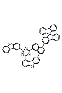 c1ccc(-c2nc(-c3ccc4oc5ccccc5c4c3)nc(-c3cccc4oc5ccc(-c6ccc(-c7ccc8c(c7)-c7ccccc7C87c8ccccc8-c8ccccc87)cc6)cc5c34)n2)cc1